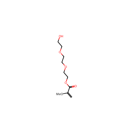 C=C(OC)C(=O)OCCOCCOCCO